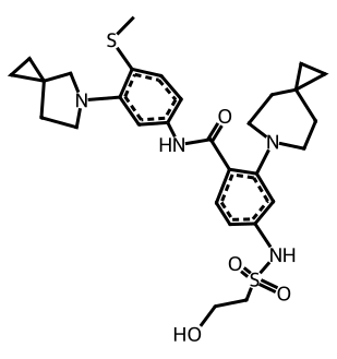 CSc1ccc(NC(=O)c2ccc(NS(=O)(=O)CCO)cc2N2CCC3(CC2)CC3)cc1N1CCC2(CC2)C1